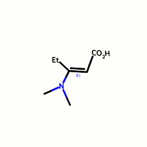 CC/C(=C\C(=O)O)N(C)C